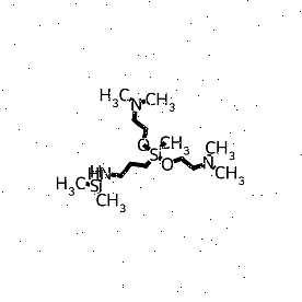 CN(C)CCO[Si](C)(CCCN[SiH](C)C)OCCN(C)C